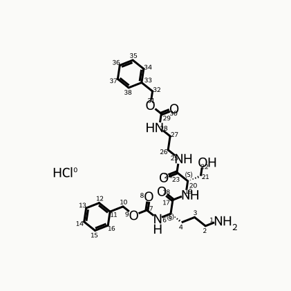 Cl.NCCC[C@H](NC(=O)OCc1ccccc1)C(=O)N[C@@H](CO)C(=O)NCCNC(=O)OCc1ccccc1